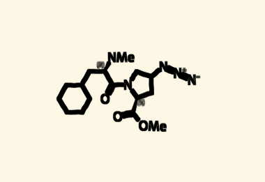 CN[C@H](CC1CCCCC1)C(=O)N1CC(N=[N+]=[N-])C[C@H]1C(=O)OC